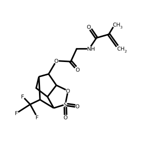 C=C(C)C(=O)NCC(=O)OC1C2CC3C1OS(=O)(=O)C3C2C(F)(F)F